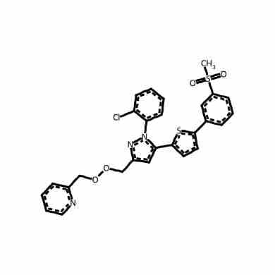 CS(=O)(=O)c1cccc(-c2ccc(-c3cc(COOCc4ccccn4)nn3-c3ccccc3Cl)s2)c1